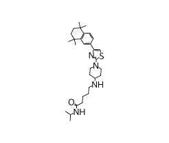 CC(C)NC(=O)CCCCNC1CCN(c2nc(-c3ccc4c(c3)C(C)(C)CCC4(C)C)cs2)CC1